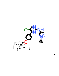 CC(C)(C#N)COc1ccc(-c2nc(Nc3cnn(C4CC4)c3)ncc2Cl)cc1